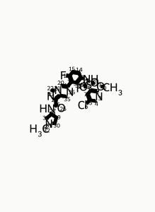 COc1ncc(Cl)cc1S(=O)(=O)Nc1ccc(F)c(-c2cn3cnc(C(=O)N[C@H]4CCN(C)C4)c3cn2)c1F